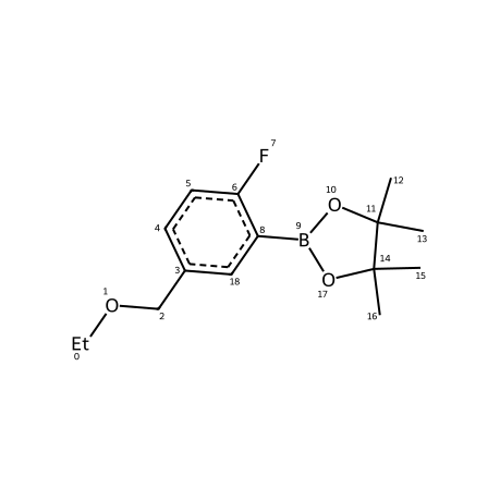 CCOCc1ccc(F)c(B2OC(C)(C)C(C)(C)O2)c1